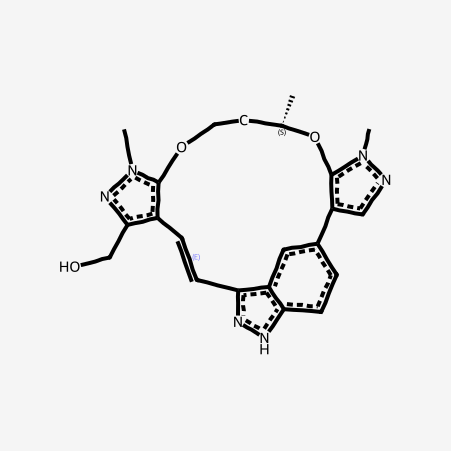 C[C@H]1CCOc2c(c(CO)nn2C)/C=C/c2n[nH]c3ccc(cc23)-c2cnn(C)c2O1